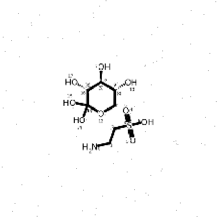 NCCS(=O)(=O)O.O[C@H]1[C@H](O)COC(O)(O)[C@@H]1O